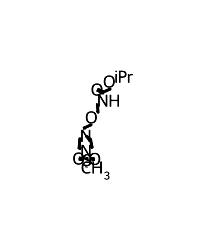 CC(C)OCC(=O)NCCOCCN1CCN(S(C)(=O)=O)CC1